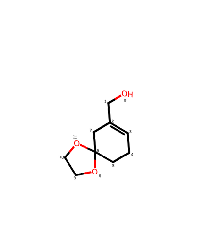 OCC1=CCCC2(C1)OCCO2